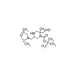 C[C@@H]1CO[C@@H](C)CN1CC1CN(C(=O)OC(C)(C)C)C(C)(CC=O)CN1